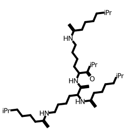 C=C(CCCCC(C)C)NCCCCC(NC(=C)CCCCC(C)C)C(=C)NC(CCCCNC(=C)CCCCC(C)C)C(=O)C(C)C